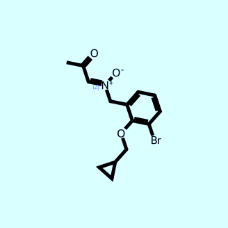 CC(=O)/C=[N+](\[O-])Cc1cccc(Br)c1OCC1CC1